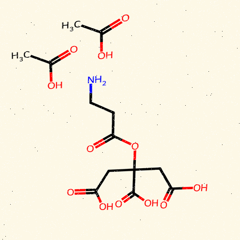 CC(=O)O.CC(=O)O.NCCC(=O)OC(CC(=O)O)(CC(=O)O)C(=O)O